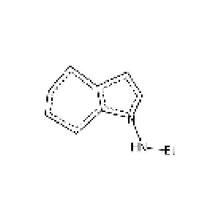 CCNn1[c]cc2ccccc21